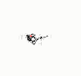 CCCCOC(=O)NCCN1Cc2ccccc2-c2c(nnn2C(C)(C)CO)-c2ccccc21